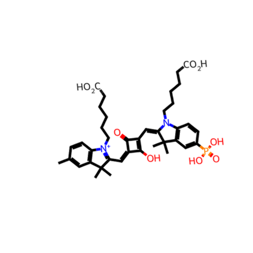 Cc1ccc2c(c1)C(C)(C)C(/C=C1\C(=O)C(/C=C3/N(CCCCCC(=O)O)c4ccc(P(=O)(O)O)cc4C3(C)C)=C1O)=[N+]2CCCCCC(=O)O